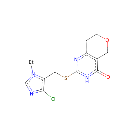 CCn1cnc(Cl)c1CSc1nc2c(c(=O)[nH]1)COCC2